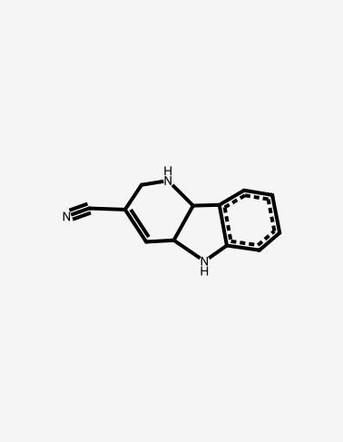 N#CC1=CC2Nc3ccccc3C2NC1